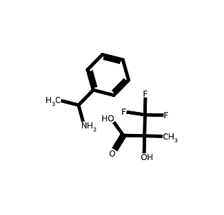 CC(N)c1ccccc1.CC(O)(C(=O)O)C(F)(F)F